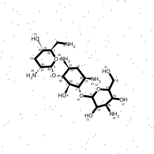 NC[C@H]1O[C@H](O[C@H]2[C@H](O)[C@@H](OC3OC(CO)C(O)C(N)C3O)[C@H](N)C[C@@H]2N)[C@H](N)C[C@@H]1O